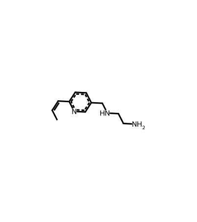 C/C=C\c1ccc(CNCCN)cn1